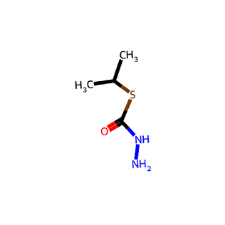 CC(C)SC(=O)NN